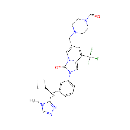 Cn1cnnc1[C@H](c1cccc(-n2cc3c(C(F)(F)F)cc(CN4CCN(C=O)CC4)cn3c2=O)c1)C1CCC1